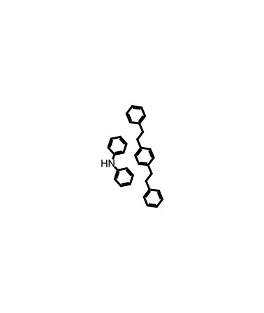 c1ccc(CCc2ccc(CCc3ccccc3)cc2)cc1.c1ccc(Nc2ccccc2)cc1